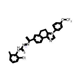 C=C(/N=N/C(=S)Nc1c(C)cccc1CC)c1ccc2c(c1)CCc1c-2ncn1-c1ccc(OC(F)(F)F)cc1